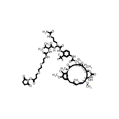 COc1cc2cc(c1Cl)N(C)C(=O)C[C@H](OC(=O)Nc1ccc(NC(=O)[C@H](CCCNC(N)=O)NC(=O)[C@@H](NC(=S)NCCOCCOCCC(=O)ON3C(=O)CCC3=O)C(C)C)c(C(F)(F)F)c1)[C@]1(C)O[C@H]1[C@H](C)[C@@H]1C[C@@](O)(NC(=O)O1)[C@H](OC)/C=C/C=C(\C)C2